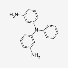 Nc1cccc(N(c2ccccc2)c2cccc(N)c2)c1